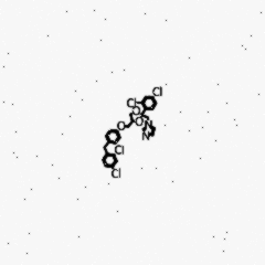 Clc1ccc(Cc2ccc(OCC3COC(Cn4ccnc4)(c4ccc(Cl)cc4Cl)O3)cc2)c(Cl)c1